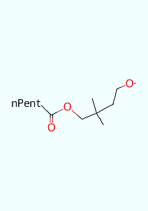 CCCCCC(=O)OCC(C)(C)CC[O]